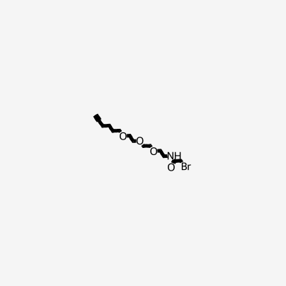 C#CCCCCOCCOCCOCCNC(=O)CBr